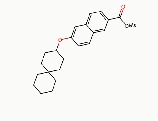 COC(=O)c1ccc2cc(OC3CCC4(CCCCC4)CC3)ccc2c1